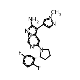 Cn1cc(-c2c(N)nn3cnc(N4CCC[C@@H]4c4cc(F)ccc4F)cc23)cn1